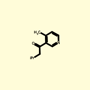 Cc1ccncc1C(=O)CC(C)C